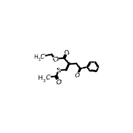 CCOC(=O)C(CSC(C)=O)CC(=O)c1ccccc1